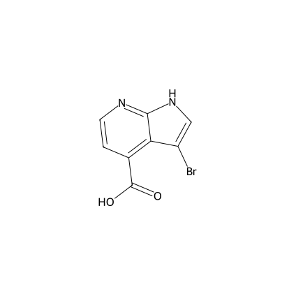 O=C(O)c1ccnc2[nH]cc(Br)c12